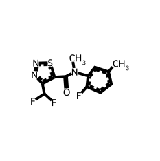 Cc1ccc(F)c(N(C)C(=O)c2snnc2C(F)F)c1